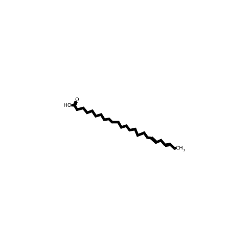 CCC=CCC=CCCCCCCCCCCCCCCCCCC(=O)O